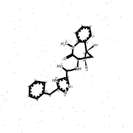 CN1C(=O)[C@H](NC(O)c2nnc(Cc3ccccc3)[nH]2)[C@H]2C[C@H]2c2ccccc21